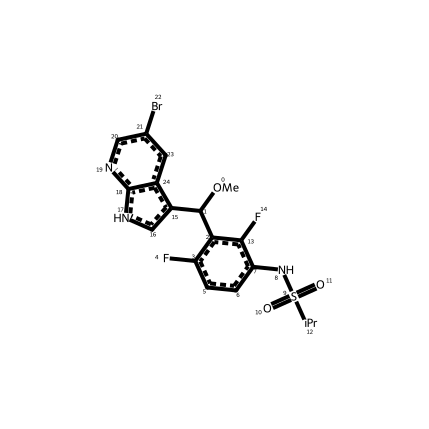 COC(c1c(F)ccc(NS(=O)(=O)C(C)C)c1F)c1c[nH]c2ncc(Br)cc12